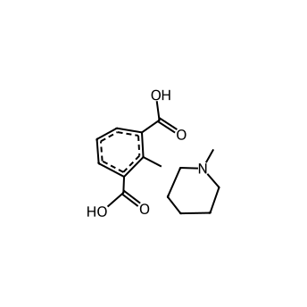 CN1CCCCC1.Cc1c(C(=O)O)cccc1C(=O)O